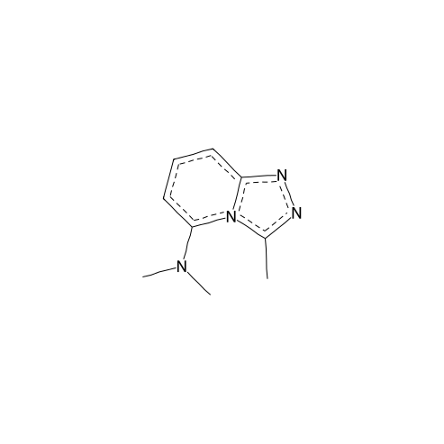 Cc1nnc2cccc(N(C)C)n12